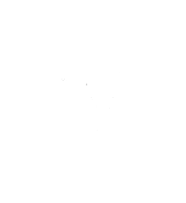 CO[SiH2]C(C)(C1CCCC1)C1CCCC1